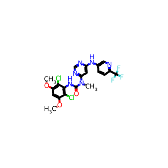 COc1cc(OC)c(Cl)c(NC(=O)N(C)c2cc(Nc3ccc(C(F)(F)F)nc3)ncn2)c1Cl